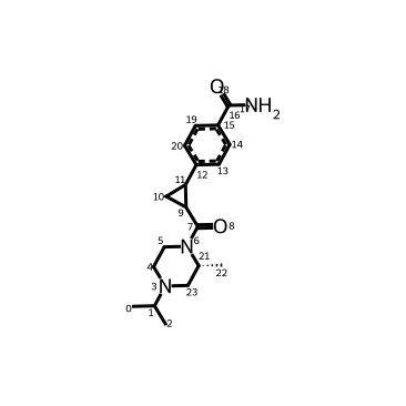 CC(C)N1CCN(C(=O)C2CC2c2ccc(C(N)=O)cc2)[C@H](C)C1